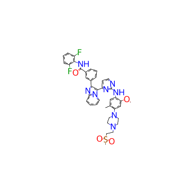 COc1cc(N2CCN(CCS(C)(=O)=O)CC2)c(C)cc1Nc1nccc(-c2c(-c3cccc(C(=O)Nc4c(F)cccc4F)c3)nc3ccccn23)n1